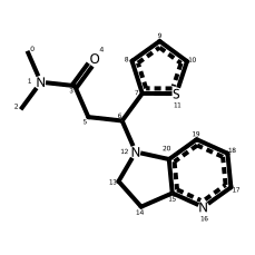 CN(C)C(=O)CC(c1cccs1)N1CCc2ncccc21